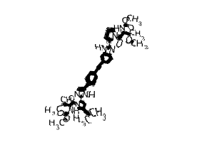 COC(=O)N[C@H](C(=O)N1CC(=C(C)C)C[C@H]1c1ncc(-c2ccc(C#Cc3ccc4nc([C@@H]5CCCN5C(=O)[C@@H](NC(=O)OC)[C@@H](C)OC)[nH]c4c3)cc2)[nH]1)C(C)C